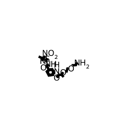 Cc1nc(NC(=O)c2cccc(NC(=O)C(C)OCCOCCN)c2)sc1[N+](=O)[O-]